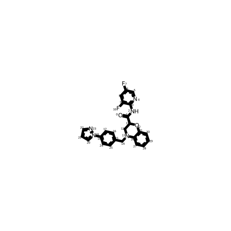 O=C(Nc1ncc(F)cc1F)C1CN(Cc2ccc(-n3cccn3)cc2)c2ccccc2O1